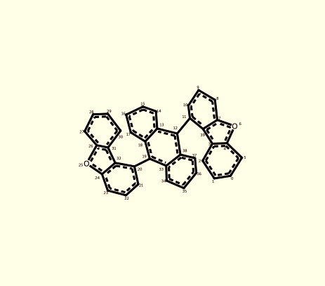 c1ccc2c(c1)oc1cccc(-c3c4ccccc4c(-c4cccc5oc6ccccc6c45)c4ccccc34)c12